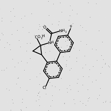 NC(=O)NC1(C(=O)O)CC1c1cc(Cl)ccc1-c1ccc(F)cc1